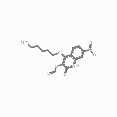 CCCCCCOc1c(OC=O)c(=O)[nH]c2cc([N+](=O)[O-])ccc12